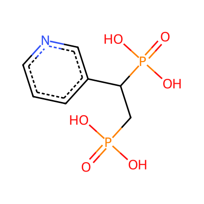 O=P(O)(O)CC(c1cccnc1)P(=O)(O)O